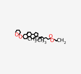 C=CCOC(=O)CCC/C=C(\C)[C@H]1CCC2C3CC=C4C[C@@H](OC5CCCCO5)CC[C@]4(C)C3CC[C@@]21C